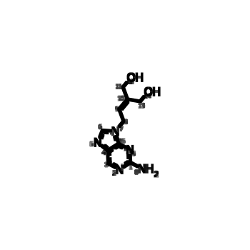 Nc1ncc2ncn(CC=C(CO)CO)c2n1